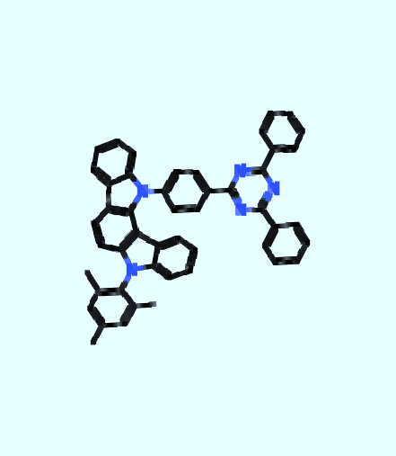 Cc1cc(C)c(-n2c3ccccc3c3c2ccc2c4ccccc4n(-c4ccc(-c5nc(-c6ccccc6)nc(-c6ccccc6)n5)cc4)c23)c(C)c1